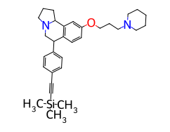 C[Si](C)(C)C#Cc1ccc(C2CN3CCCC3c3cc(OCCCN4CCCCC4)ccc32)cc1